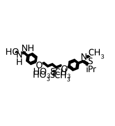 CS(=O)(=O)O.CS(=O)(=O)O.Cc1nc(-c2ccc(OCCCCCOc3ccc(C(=N)NO)cc3)cc2)c(C(C)C)s1